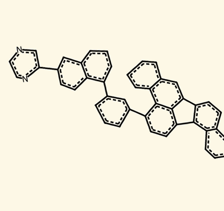 c1cc(-c2cccc3cc(-c4cnccn4)ccc23)cc(-c2ccc3c4c(cc5ccccc5c24)-c2ccc4ccccc4c2-3)c1